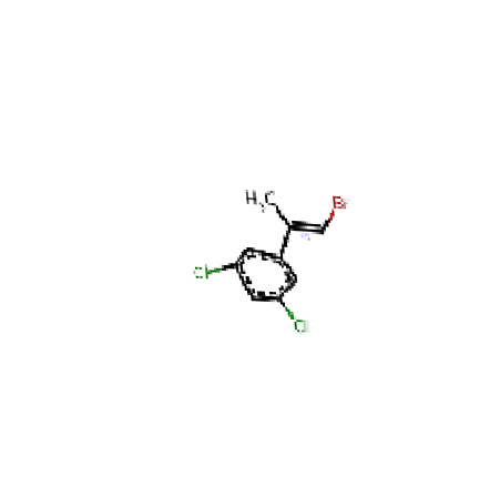 C/C(=C\Br)c1cc(Cl)cc(Cl)c1